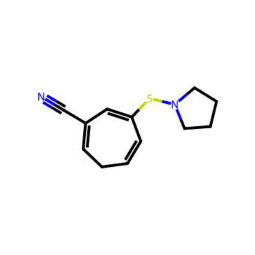 N#CC1=CCC=CC(SN2CCCC2)=C1